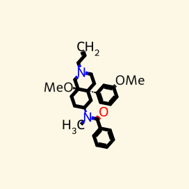 C=CCN1CC[C@@]2(c3cccc(OC)c3)C[C@@H](N(C)C(=O)c3ccccc3)CC[C@]2(OC)C1